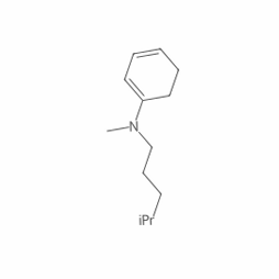 CC(C)CCCN(C)C1=CC=CCC1